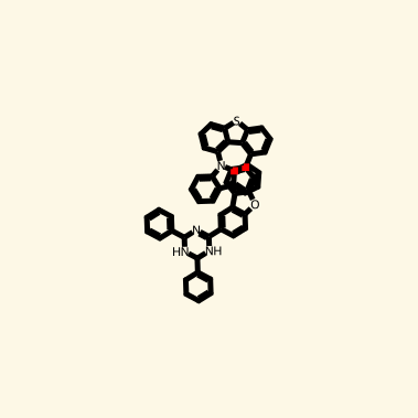 C1=CCCC(C2NC(c3ccc4oc5cc(-c6cccc7sc8cccc(-n9c%10ccccc%10c%10ccccc%109)c8c67)ccc5c4c3)=NC(c3ccccc3)N2)=C1